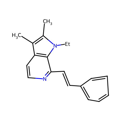 CCn1c(C)c(C)c2ccnc(C=Cc3ccccc3)c21